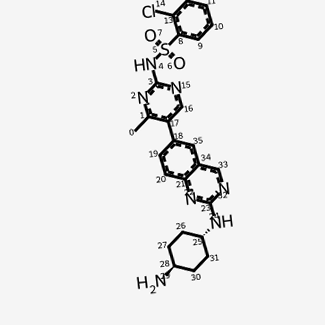 Cc1nc(NS(=O)(=O)c2ccccc2Cl)ncc1-c1ccc2nc(N[C@H]3CC[C@H](N)CC3)ncc2c1